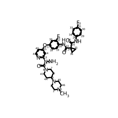 CN1CCN(C2CCN(C(=O)N(N)c3cc(Oc4ccc(NC(=O)C5(C(=O)Nc6ccc(F)cc6)CC5)c(F)c4)ccn3)CC2)CC1